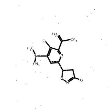 C=C(C)c1nc(C2CC(Cl)=NO2)cc(N(C)C)c1Cl